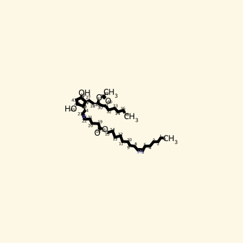 CCCCCC/C=C\CCCCCCCCOC(=O)CCC/C=C\C[C@@H]1[C@@H](CC[C@H](CCCCCCC)OC(C)=O)[C@H](O)C[C@@H]1O